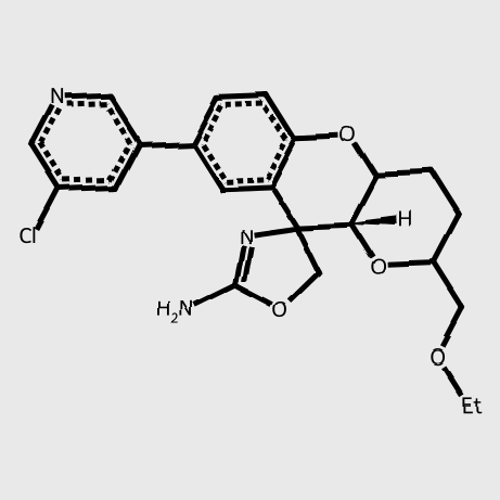 CCOCC1CCC2Oc3ccc(-c4cncc(Cl)c4)cc3C3(COC(N)=N3)[C@H]2O1